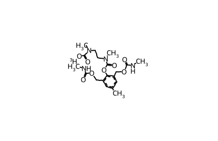 [3H]OC(=O)N(C)CCN(C)C(=O)Oc1c(COC(=O)NC)cc(C)cc1COC(=O)NC